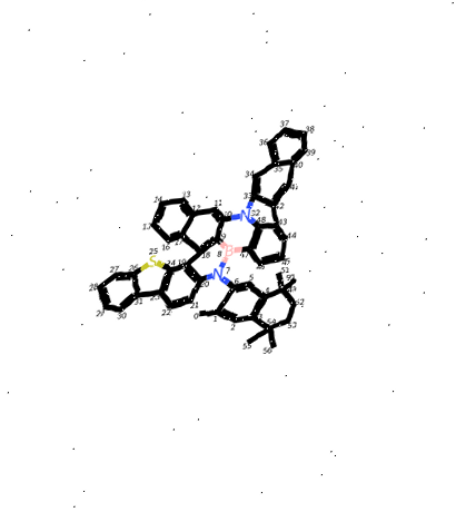 Cc1cc2c(cc1N1B3c4c(cc5ccccc5c4-c4c1ccc1c4sc4ccccc41)-n1c4cc5ccccc5cc4c4cccc3c41)C(C)(C)CCC2(C)C